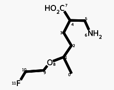 CC(CCC(CN)C(=O)O)OCCF